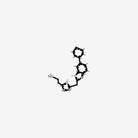 OCCc1nnc(Cc2nc3ccc(-c4ccccc4)cc3s2)o1